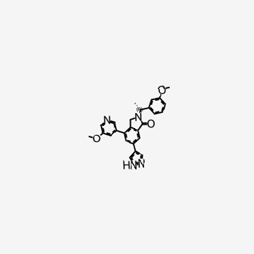 COc1cncc(-c2cc(-c3cn[nH]c3)cc3c2CN([C@H](C)c2cccc(OC)c2)C3=O)c1